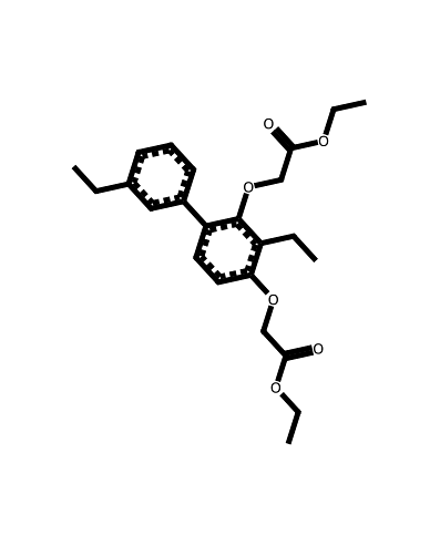 CCOC(=O)COc1ccc(-c2cccc(CC)c2)c(OCC(=O)OCC)c1CC